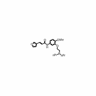 CCCN(CCC)CCOc1cc(NC(=O)C=Cc2ccoc2)ccc1OC